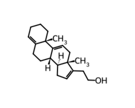 C[C@]12CCCC=C1CC[C@@H]1C2=CC[C@]2(C)C(CCO)=CC[C@@H]12